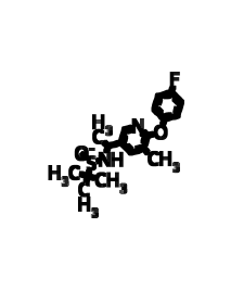 Cc1cc(C(C)N[S+]([O-])C(C)(C)C)cnc1Oc1ccc(F)cc1